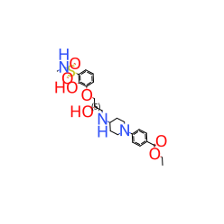 CCOC(=O)c1ccc(N2CCC(NC[C@H](O)COc3cccc(S(=O)(=O)NC)c3O)CC2)cc1